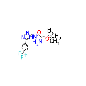 CC(C)(C)OCC(N)C(=O)NCc1cc(-c2ccc(C(F)(F)F)cc2)ncn1